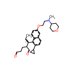 C/C=C(\c1c(C2CC2)ccc2cc(OCCN(C)C3CCOCC3)ccc12)C(C=O)CCC=O